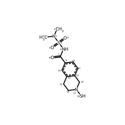 CN(C)S(=O)(=O)NC(=O)c1ccc2c(c1)CCN(S)C2